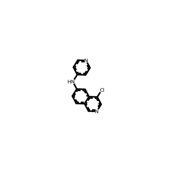 Clc1cncc2ccc(Nc3ccncc3)cc12